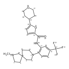 CN1CCC2(CCN(c3ccc(C(F)(F)F)cc3NC(=O)c3ccc(C4CCOCC4)o3)CC2)C1